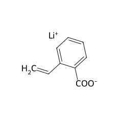 C=Cc1ccccc1C(=O)[O-].[Li+]